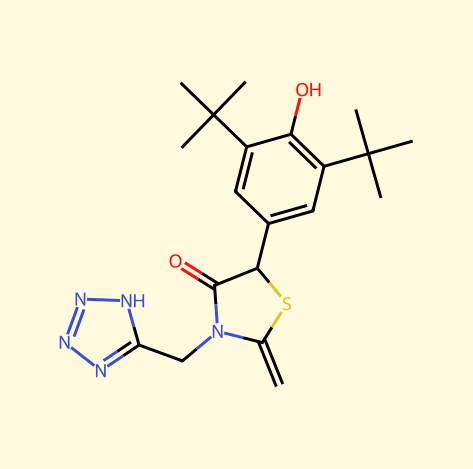 C=C1SC(c2cc(C(C)(C)C)c(O)c(C(C)(C)C)c2)C(=O)N1Cc1nnn[nH]1